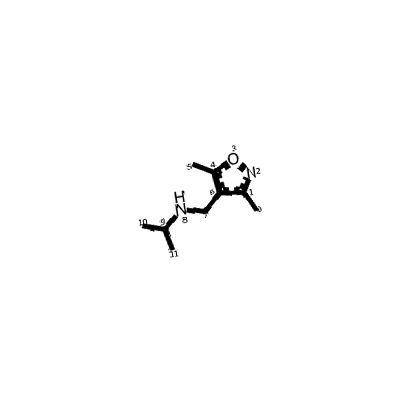 Cc1noc(C)c1CNC(C)C